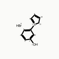 Br.Oc1cccc(S2=CC=CC2)c1